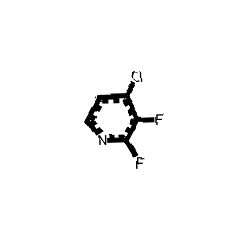 Fc1nc[c]c(Cl)c1F